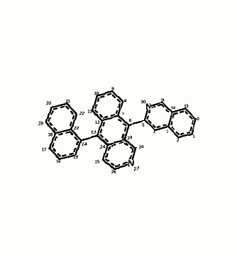 c1ccc2cc(-c3c4ccccc4c(-c4cccc5ccccc45)c4ccncc34)ncc2c1